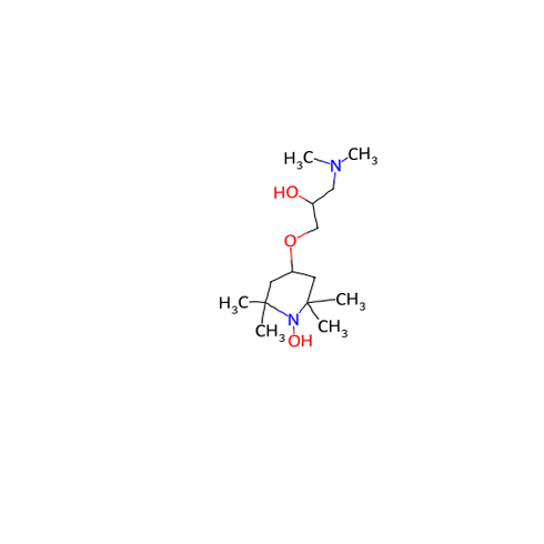 CN(C)CC(O)COC1CC(C)(C)N(O)C(C)(C)C1